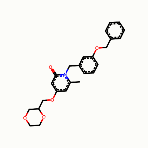 Cc1cc(OCC2COCCO2)cc(=O)n1Cc1cccc(OCc2ccccc2)c1